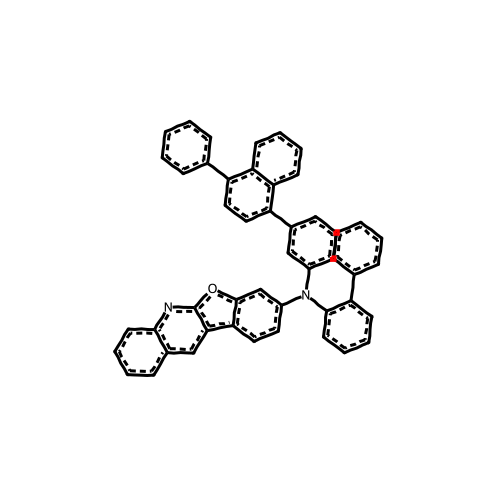 c1ccc(-c2ccccc2N(c2cccc(-c3ccc(-c4ccccc4)c4ccccc34)c2)c2ccc3c(c2)oc2nc4ccccc4cc23)cc1